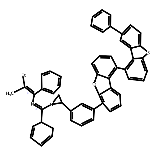 CC/C(C)=C(/N=C(/C1C=CC=CC1)N1CC1c1cccc(-c2cccc3c2oc2cccc(-c4cccc5sc6ccc(-c7ccccc7)cc6c45)c23)c1)c1ccccc1